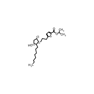 CCCCCCCCC1[C@@H](CCCc2ccc(C(=O)OC(C)C)s2)C(Cl)C[C@H]1O